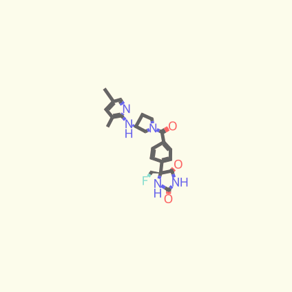 Cc1cnc(N[C@H]2CCN(C(=O)c3ccc([C@@]4(CF)NC(=O)NC4=O)cc3)C2)c(C)c1